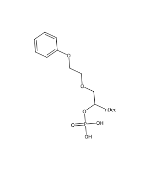 CCCCCCCCCCC(COCCOc1ccccc1)OP(=O)(O)O